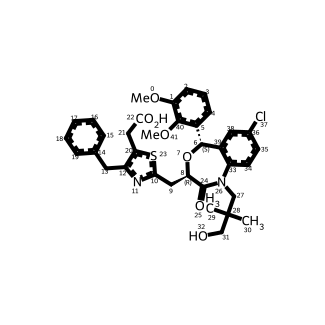 COc1cccc([C@H]2O[C@H](Cc3nc(Cc4ccccc4)c(CC(=O)O)s3)C(=O)N(CC(C)(C)CO)c3ccc(Cl)cc32)c1OC